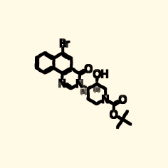 CC(C)(C)OC(=O)N1CC[C@H](n2cnc3c(cc(Br)c4ccccc43)c2=O)[C@@H](O)C1